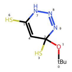 CC(C)(C)OC1(S)C=C(S)NN=N1